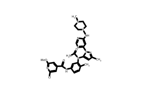 COc1cc(C(=O)Nc2ccc(C)c(N(C(N)=O)c3cc(C)nn3-c3cc(NN4CCN(C)CC4)ncn3)c2)cc(Cl)n1